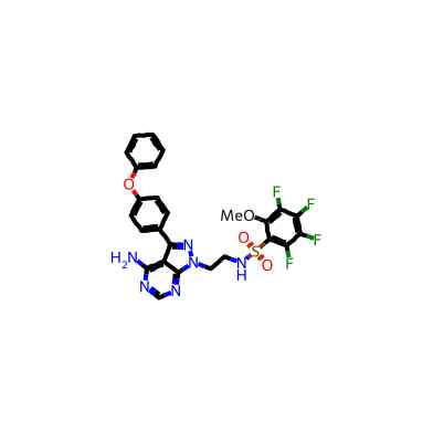 COc1c(F)c(F)c(F)c(F)c1S(=O)(=O)NCCn1nc(-c2ccc(Oc3ccccc3)cc2)c2c(N)ncnc21